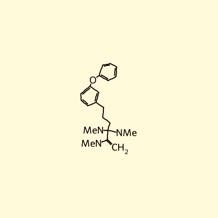 C=C(NC)C(CCCc1cccc(Oc2ccccc2)c1)(NC)NC